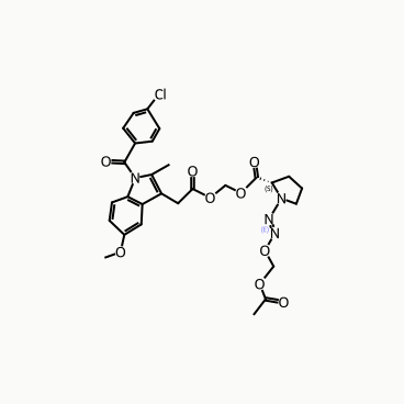 COc1ccc2c(c1)c(CC(=O)OCOC(=O)[C@@H]1CCCN1/N=N/OCOC(C)=O)c(C)n2C(=O)c1ccc(Cl)cc1